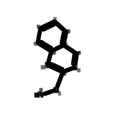 CCCOc1ncc2ccccc2n1